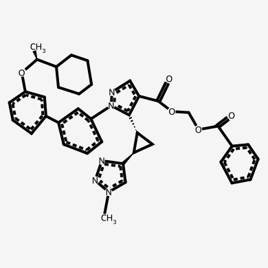 C[C@H](Oc1cccc(-c2cccc(-n3ncc(C(=O)OCOC(=O)c4ccccc4)c3[C@@H]3C[C@H]3c3cn(C)nn3)c2)c1)C1CCCCC1